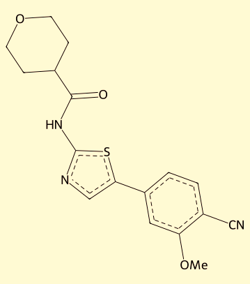 COc1cc(-c2cnc(NC(=O)C3CCOCC3)s2)ccc1C#N